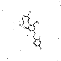 Cc1cc(OCc2ncc(F)cc2F)cc(=O)n1C1=CC(Cl)=NCC1C